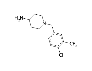 NC1CCN(Cc2ccc(Cl)c(C(F)(F)F)c2)CC1